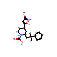 CC(C)(CC1CC(c2cc(=O)[nH]o2)CCN1C(=O)O)c1ccccc1